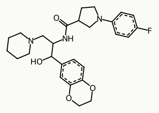 O=C(NC(CN1CCCCC1)C(O)c1ccc2c(c1)OCCO2)C1CCN(c2ccc(F)cc2)C1